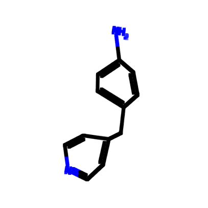 Nc1ccc(Cc2ccncc2)cc1